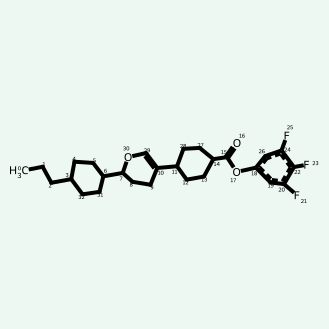 CCCC1CCC(C2CCC(C3CCC(C(=O)Oc4cc(F)c(F)c(F)c4)CC3)=CO2)CC1